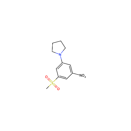 CS(=O)(=O)c1cc(N2CCCC2)cc([N+](=O)[O-])c1